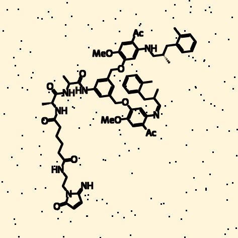 COc1cc(C(C)=O)c(/N=C\C(C)Cc2ccccc2C)cc1OCc1cc(COc2cc(NC[C@@H](C)Cc3ccccc3C)c(C(C)=O)cc2OC)cc(NC(=O)C(C)NC(=O)[C@H](C)NC(=O)CCCCC(=O)NCCN2C(=N)C=CC2=O)c1